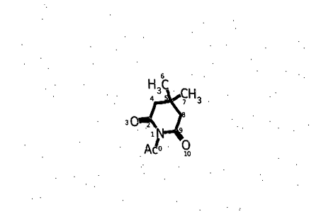 CC(=O)N1C(=O)CC(C)(C)CC1=O